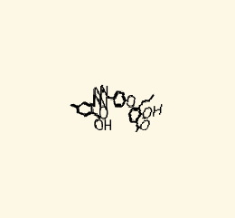 C=C1C=C(n2nnc(-c3ccc(Oc4ccc(C(C)=O)c(O)c4CCC)cc3)n2)C(C(=O)O)=CC1